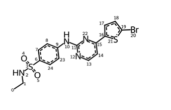 CCNS(=O)(=O)c1ccc(Nc2nccc(-c3ccc(Br)s3)n2)cc1